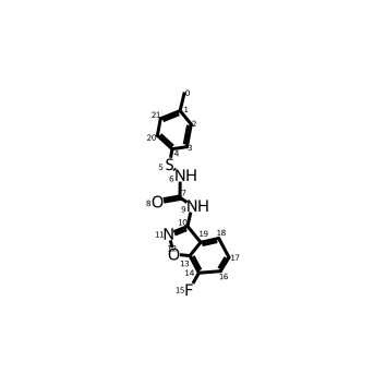 Cc1ccc(SNC(=O)Nc2noc3c(F)cccc23)cc1